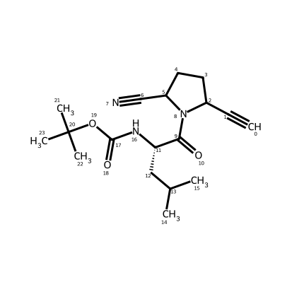 C#CC1CCC(C#N)N1C(=O)[C@H](CC(C)C)NC(=O)OC(C)(C)C